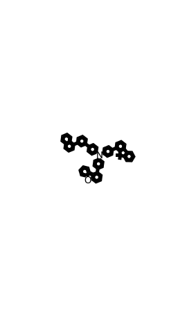 CC1(C)c2ccccc2-c2cccc(-c3ccc(N(c4ccc(-c5cccc(-c6cccc7ccccc67)c5)cc4)c4ccc(-c5cccc6oc7ccccc7c56)cc4)cc3)c21